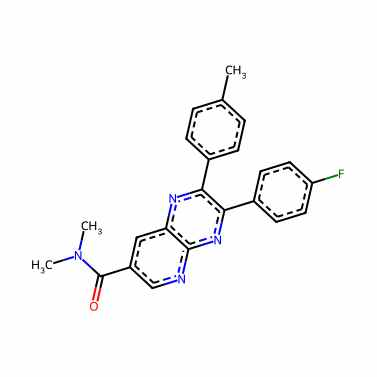 Cc1ccc(-c2nc3cc(C(=O)N(C)C)cnc3nc2-c2ccc(F)cc2)cc1